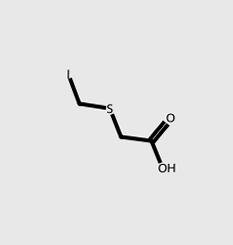 O=C(O)CSCI